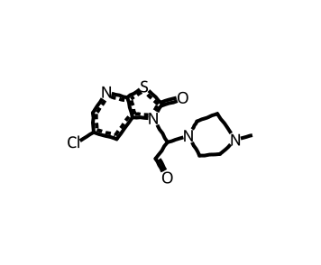 CN1CCN(C(C=O)n2c(=O)sc3ncc(Cl)cc32)CC1